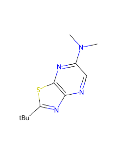 CN(C)c1cnc2nc(C(C)(C)C)sc2n1